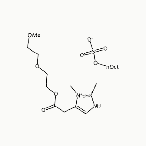 CCCCCCCCOS(=O)(=O)[O-].COCCOCCOC(=O)Cc1c[nH]c(C)[n+]1C